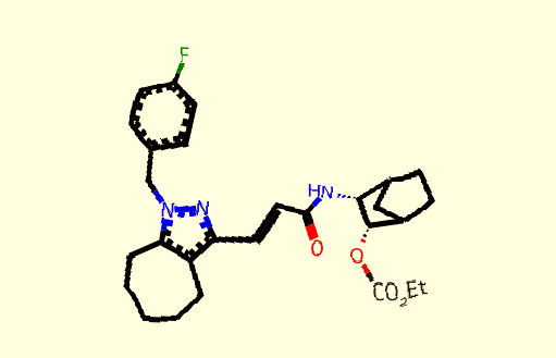 CCOC(=O)O[C@H]1C2CCC(C2)[C@H]1NC(=O)/C=C/c1nn(Cc2ccc(F)cc2)c2c1CCCCC2